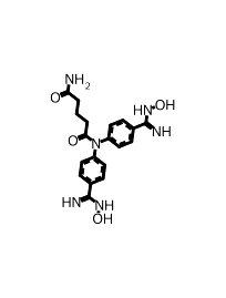 N=C(NO)c1ccc(N(C(=O)CCCC(N)=O)c2ccc(C(=N)NO)cc2)cc1